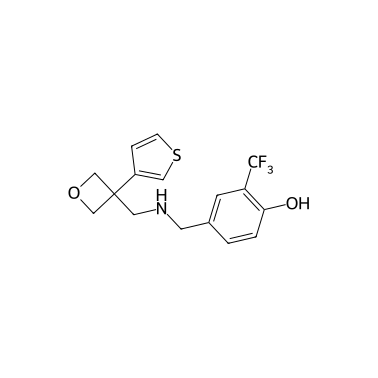 Oc1ccc(CNCC2(c3ccsc3)COC2)cc1C(F)(F)F